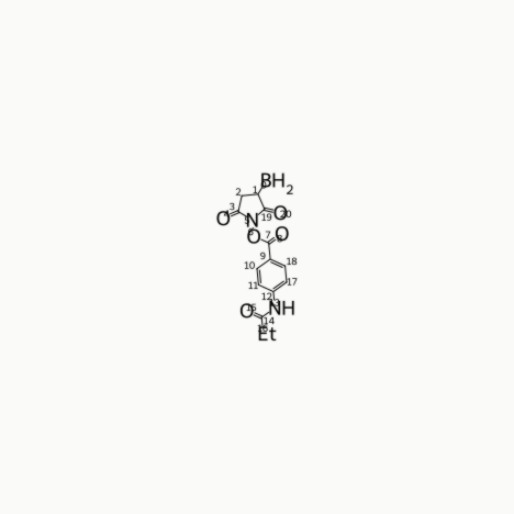 BC1CC(=O)N(OC(=O)c2ccc(NC(=O)CC)cc2)C1=O